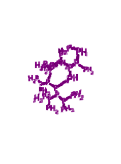 PPP(P)P(PP(P(P(P)P)P(P)P)P(P(P)P)P(P)P)P(P)P